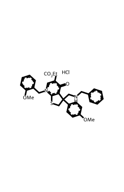 CCOC(=O)c1cn(Cc2ccccc2OC)c2c(c1=O)C(CNCc1ccccc1)(c1ccc(OC)cc1)CS2.Cl